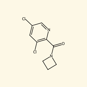 O=C(c1ncc(Cl)cc1Cl)N1CCC1